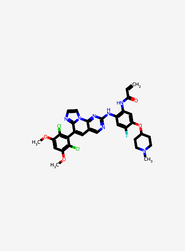 C=CC(=O)Nc1cc(OC2CCN(C)CC2)c(F)cc1Nc1ncc2cc(-c3c(Cl)c(OC)cc(OC)c3Cl)c3nccn3c2n1